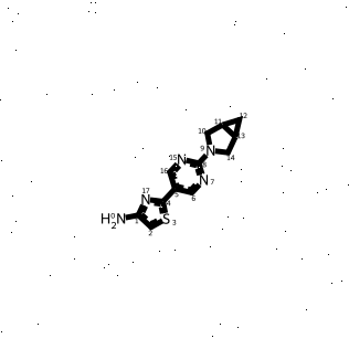 Nc1csc(-c2cnc(N3CC4CC4C3)nc2)n1